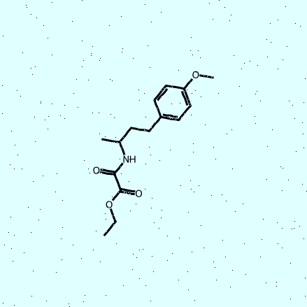 CCOC(=O)C(=O)NC(C)CCc1ccc(OC)cc1